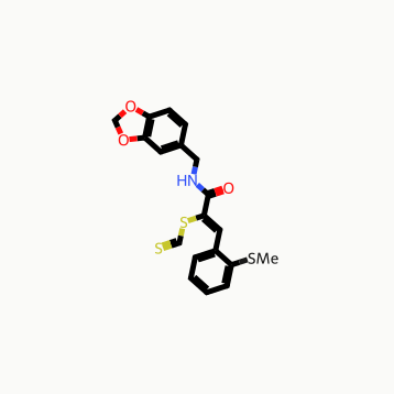 CSc1ccccc1C=C(SC=S)C(=O)NCc1ccc2c(c1)OCO2